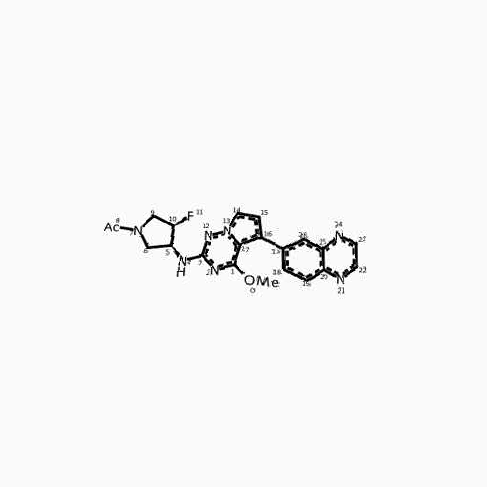 COc1nc(N[C@H]2CN(C(C)=O)C[C@H]2F)nn2ccc(-c3ccc4nccnc4c3)c12